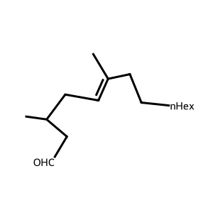 CCCCCCCCC(C)=CCC(C)CC=O